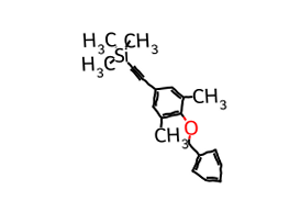 Cc1cc(C#C[Si](C)(C)C)cc(C)c1OCc1ccccc1